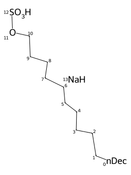 CCCCCCCCCCCCCCCCCCCCOS(=O)(=O)O.[NaH]